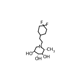 C[C@@H]1[C@@H](O)[C@H](O)[C@@H](O)CN1CCC1CCC(F)(F)CC1